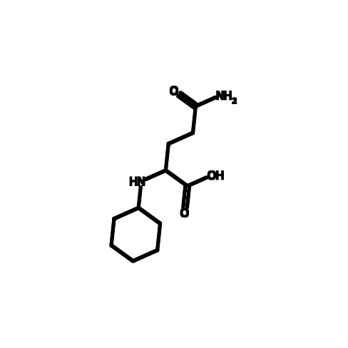 NC(=O)CCC(NC1CCCCC1)C(=O)O